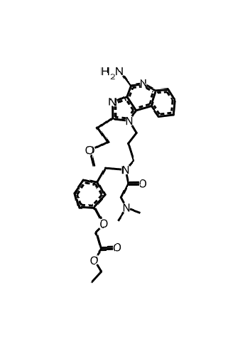 CCOC(=O)COc1cccc(CN(CCCn2c(CCOC)nc3c(N)nc4ccccc4c32)C(=O)CN(C)C)c1